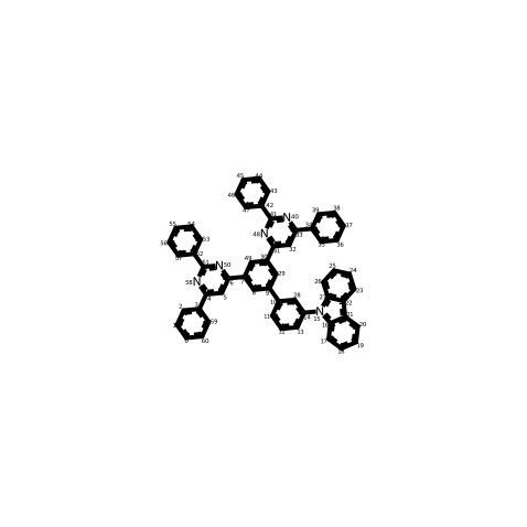 c1ccc(-c2cc(-c3cc(-c4cccc(-n5c6ccccc6c6ccccc65)c4)cc(-c4cc(-c5ccccc5)nc(-c5ccccc5)n4)c3)nc(-c3ccccc3)n2)cc1